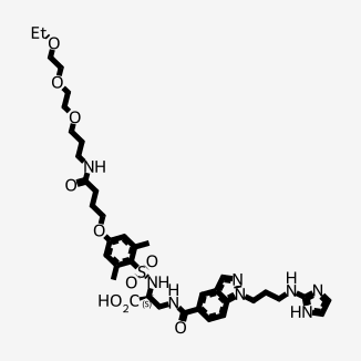 CCOCCOCCOCCCNC(=O)CCCOc1cc(C)c(S(=O)(=O)N[C@@H](CNC(=O)c2ccc3c(cnn3CCCNc3ncc[nH]3)c2)C(=O)O)c(C)c1